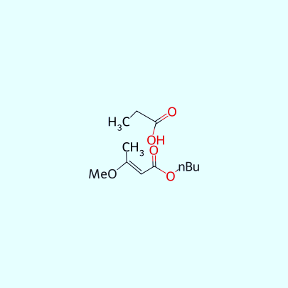 CCC(=O)O.CCCCOC(=O)C=C(C)OC